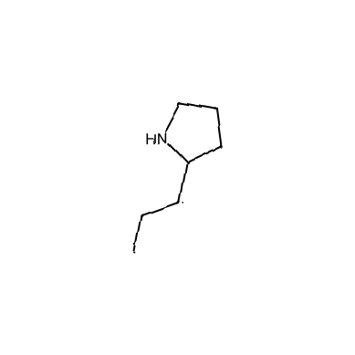 CC[CH]C1CCCN1